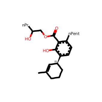 CCCCCc1ccc([C@@H]2C=C(C)CCC2)c(O)c1C(=O)OCC(O)CCC